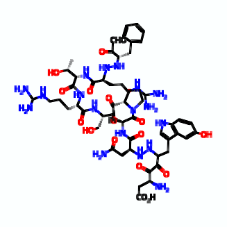 CC(C)[C@H](NC(=O)[C@H](CC(N)=O)NNC(Cc1c[nH]c2ccc(O)cc12)C(=O)C(=O)[C@@H](N)CC(=O)O)C(=O)N1CCC[C@H]1C(=O)C(=O)[C@H](CO)NC(=O)[C@H](CCCNC(N)N)NC(=O)[C@@H](NC(=O)[C@H](CCCNC(N)N)NN[C@@H](Cc1ccccc1)C(=O)C=O)[C@@H](C)O